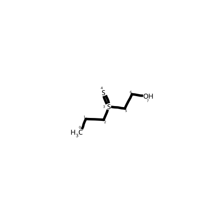 CCCS(=S)CCO